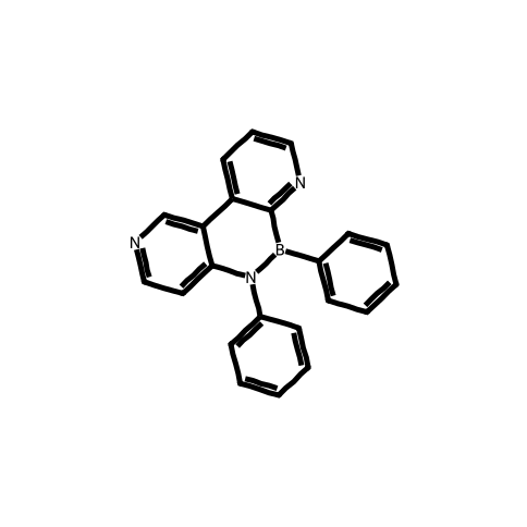 c1ccc(B2c3ncccc3-c3cnccc3N2c2ccccc2)cc1